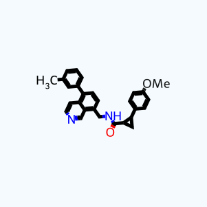 COc1ccc(C2CC2C(=O)NCc2ccc(-c3cccc(C)c3)c3ccncc23)cc1